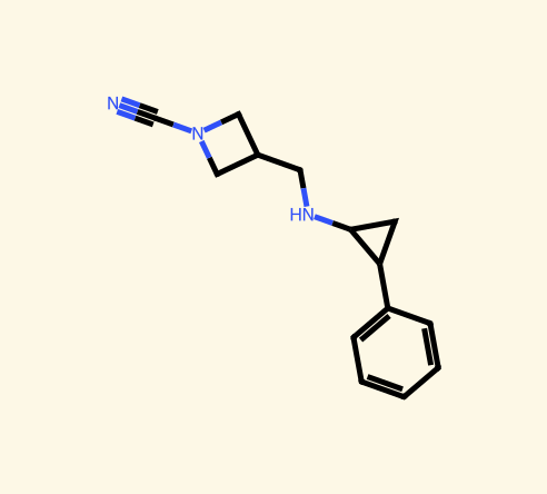 N#CN1CC(CNC2CC2c2ccccc2)C1